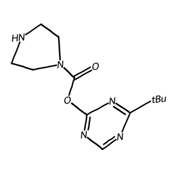 CC(C)(C)c1ncnc(OC(=O)N2CCNCC2)n1